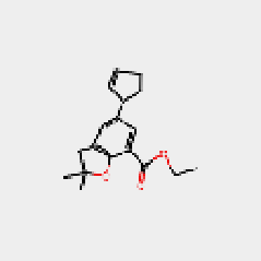 CCOC(=O)c1cc(C2C=CCC2)cc2c1OC(C)(C)C2